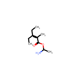 CCC(CC)=C(C)C(=O)OC(C)N